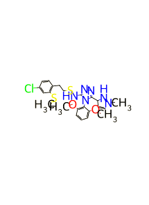 COc1cccc(OC)c1-n1c(NSCCc2ccc(Cl)cc2SC)nnc1C1C=CN(C)N1